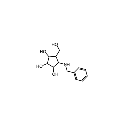 OCC1C(O)C(O)C(O)C1NCc1ccccc1